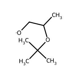 CC(C[O])OC(C)(C)C